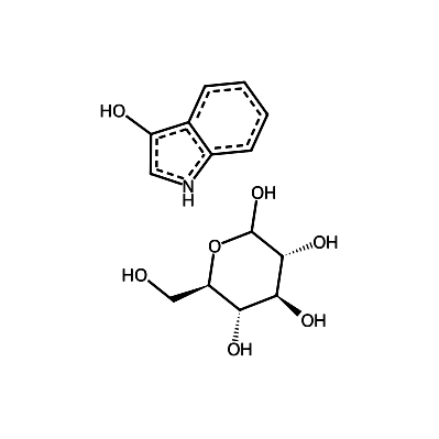 OC[C@H]1OC(O)[C@H](O)[C@@H](O)[C@@H]1O.Oc1c[nH]c2ccccc12